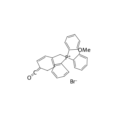 COc1ccccc1[P+](CC1=CCC(=C=O)C=C1)(c1ccccc1)c1ccccc1.[Br-]